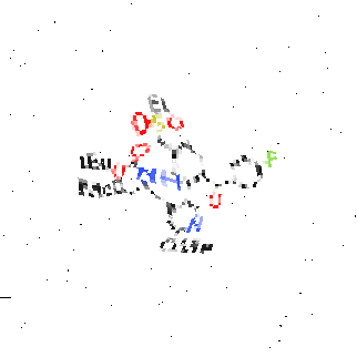 CCS(=O)(=O)Cc1ccc(C(=O)c2ccc(F)cc2)c(-c2cnc(OC)cc2C(COC)NC(=O)OC(C)(C)C)c1